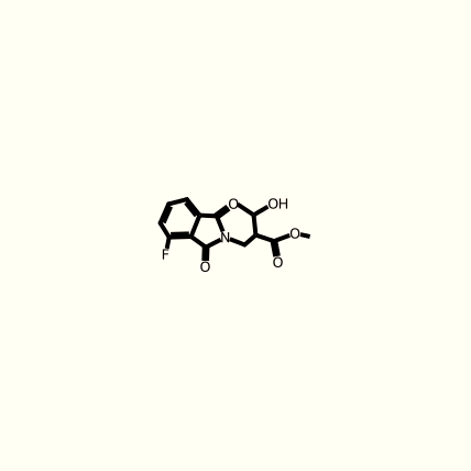 COC(=O)C(CN1C(=O)c2cccc(F)c2C1=O)C(C)O